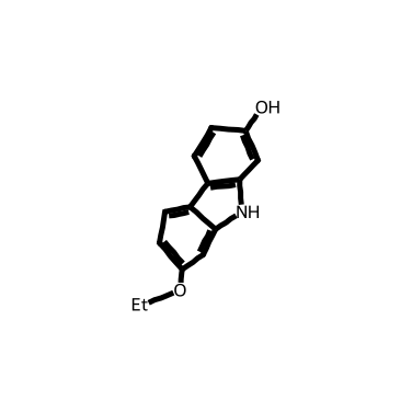 CCOc1ccc2c(c1)[nH]c1cc(O)ccc12